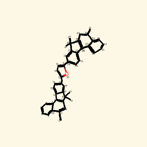 Cc1cc2c(c3ccccc13)-c1ccc(-c3ccc(-c4ccc5c(c4)C(C)(C)c4cc(C)c6ccccc6c4-5)o3)cc1C2(C)C